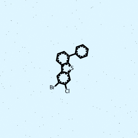 Clc1cc2sc3c(-c4ccccc4)cccc3c2cc1Br